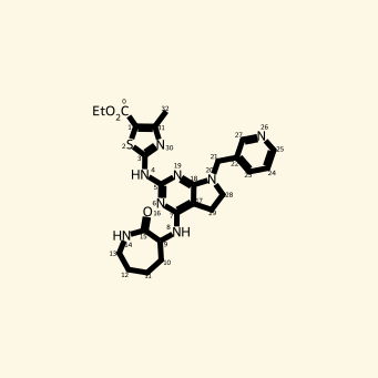 CCOC(=O)c1sc(Nc2nc(NC3CCCCNC3=O)c3c(n2)N(Cc2cccnc2)CC3)nc1C